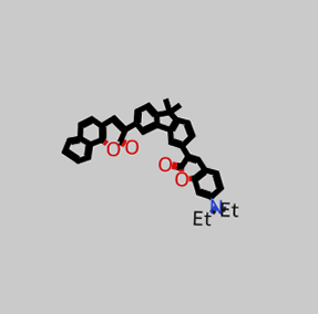 CCN(CC)c1ccc2cc(-c3ccc4c(c3)-c3cc(-c5cc6ccc7ccccc7c6oc5=O)ccc3C4(C)C)c(=O)oc2c1